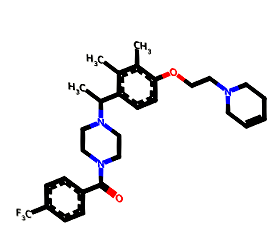 Cc1c(OCCN2CC=CCC2)ccc(C(C)N2CCN(C(=O)c3ccc(C(F)(F)F)cc3)CC2)c1C